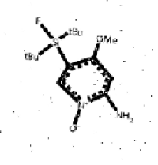 COc1cc(N)[n+]([O-])cc1[Si](F)(C(C)(C)C)C(C)(C)C